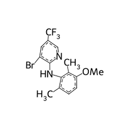 COc1ccc(C)c(Nc2ncc(C(F)(F)F)cc2Br)c1C